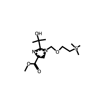 COC(=O)c1cn(COCC[Si](C)(C)C)c(C(C)(C)O)n1